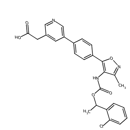 Cc1noc(-c2ccc(-c3cncc(CC(=O)O)c3)cc2)c1NC(=O)OC(C)c1ccccc1Cl